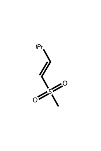 CC(C)C=CS(C)(=O)=O